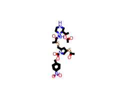 CC(=O)OC(C)C1CNCCN1NC(=O)C(C)SCC1CC(SC(C)=O)CN1C(=O)OCc1ccc([N+](=O)[O-])cc1